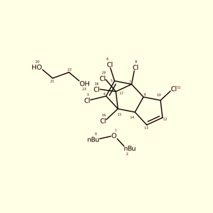 CCCCOCCCC.ClC1=C(Cl)C2(Cl)C3C(Cl)C=CC3C1(Cl)C2(Cl)Cl.OCCO